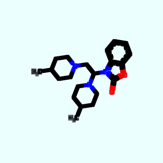 CC1CCN(CC(N2CCC(C)CC2)n2c(=O)oc3ccccc32)CC1